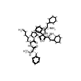 CN[C@@H](Cc1ccccc1)C(=O)N[C@@H](CCCCN)C(=O)N1CCC[C@H]1C(=O)C(NC(=O)[C@@H](N)CC1CCCCC1)(C(=O)[C@@H](N)CC1CCCCC1)c1ccccc1